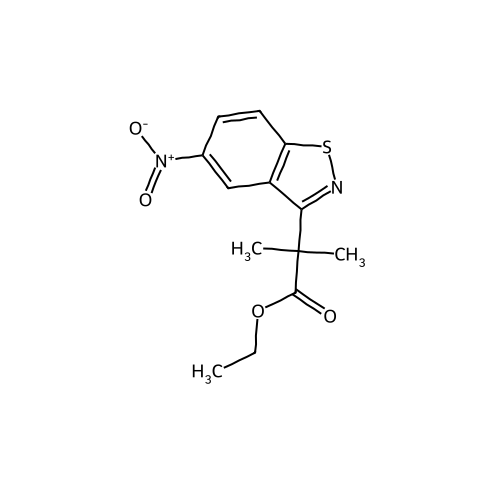 CCOC(=O)C(C)(C)c1nsc2ccc([N+](=O)[O-])cc12